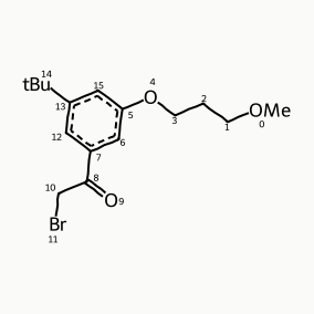 COCCCOc1cc(C(=O)CBr)cc(C(C)(C)C)c1